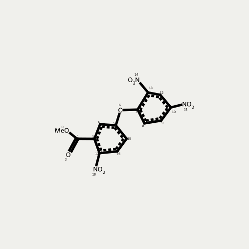 COC(=O)c1cc(Oc2ccc([N+](=O)[O-])cc2[N+](=O)[O-])ccc1[N+](=O)[O-]